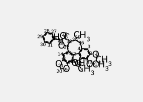 COc1cc2c(c(OC)c1OC)-c1c(cc3c(c1O)OCO3)[C@@H](OC(=O)c1ccccc1)[C@H](C)[C@H](C)C2